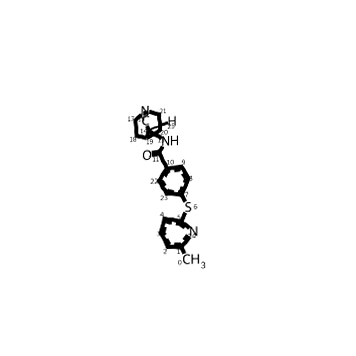 Cc1cccc(Sc2ccc(C(=O)N[C@H]3CN4CCC3CC4)cc2)n1